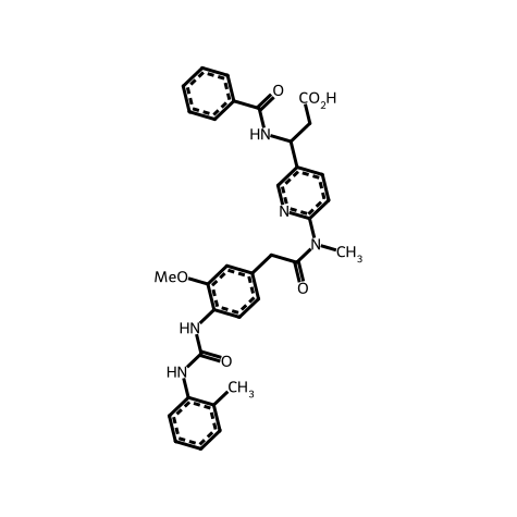 COc1cc(CC(=O)N(C)c2ccc(C(CC(=O)O)NC(=O)c3ccccc3)cn2)ccc1NC(=O)Nc1ccccc1C